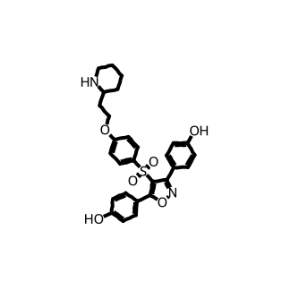 O=S(=O)(c1ccc(OCCC2CCCCN2)cc1)c1c(-c2ccc(O)cc2)noc1-c1ccc(O)cc1